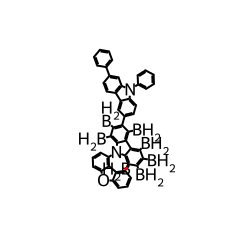 Bc1c(B)c(B)c2c(c1B)c1c(B)c(-c3ccc4c(c3)c3ccc(-c5ccccc5)cc3n4-c3ccccc3)c(B)c(B)c1n2-c1cccc2oc3ccccc3c12